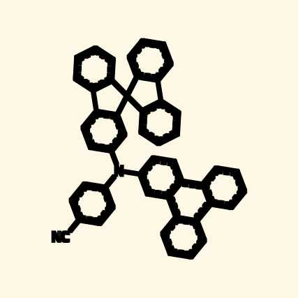 N#Cc1ccc(N(c2ccc3c(c2)C2(c4ccccc4-c4ccccc42)c2ccccc2-3)c2ccc3c4ccccc4c4ccccc4c3c2)cc1